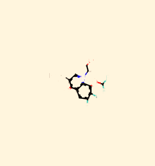 O=C(O)c1cn(CCO)c2c(OC(F)F)c(F)c(F)cc2c1=O